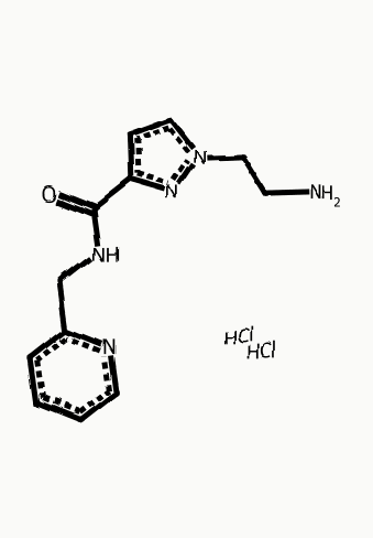 Cl.Cl.NCCn1ccc(C(=O)NCc2ccccn2)n1